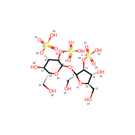 O=S(=O)(O)O[C@H]1[C@@H](O[C@]2(CO)O[C@H](CO)[C@@H](O)[C@@H]2OS(=O)(=O)O)O[C@H](CO)[C@@H](O)[C@@H]1OS(=O)(=O)O